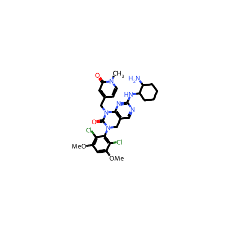 COc1cc(OC)c(Cl)c(N2Cc3cnc(NC4CCCCC4N)nc3N(Cc3ccn(C)c(=O)c3)C2=O)c1Cl